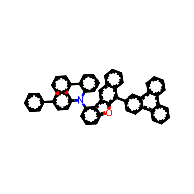 c1ccc(-c2ccc(N(c3ccccc3-c3ccccc3)c3cccc4oc5c(-c6ccc7c8ccccc8c8ccccc8c7c6)c6ccccc6cc5c34)cc2)cc1